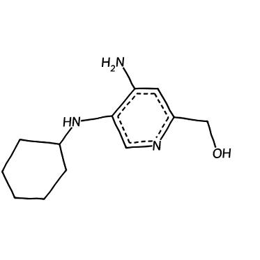 Nc1cc(CO)ncc1NC1CCCCC1